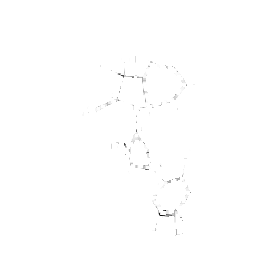 CC1(C)C(=O)N(c2cn(-c3ccncc3F)cn2)c2ccccc21